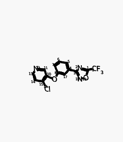 FC(F)(F)c1nc(-c2cc[c]c(Oc3cnccc3Cl)c2)no1